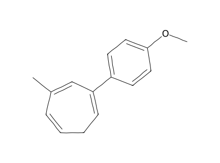 COc1ccc(C2=CCC=CC(C)=C2)cc1